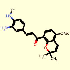 CCNc1ccc(C=CC(=O)c2ccc(OC)c3c2OC(C)(C)C=C3)cc1N